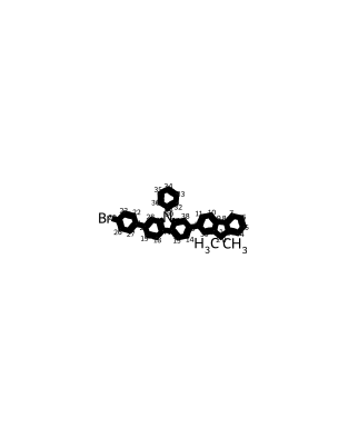 CC1(C)c2ccccc2-c2ccc(-c3ccc4c5ccc(-c6ccc(Br)cc6)cc5n(-c5ccccc5)c4c3)cc21